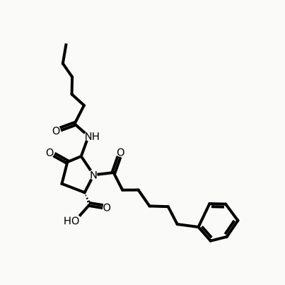 CCCCCC(=O)NC1C(=O)C[C@@H](C(=O)O)N1C(=O)CCCCCc1ccccc1